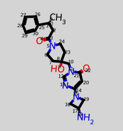 C[C@H](CC(=O)N1CCC(O)(Cn2cnc(N3CC(N)C3)cc2=O)CC1)c1ccccc1